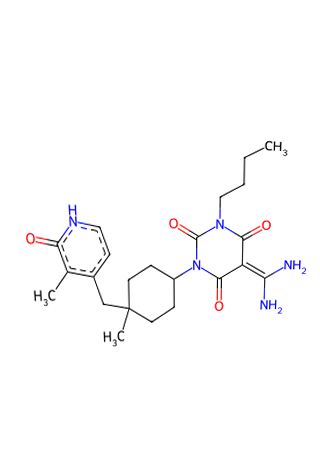 CCCCN1C(=O)C(=C(N)N)C(=O)N(C2CCC(C)(Cc3cc[nH]c(=O)c3C)CC2)C1=O